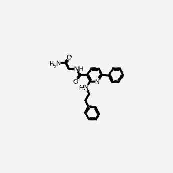 NC(=O)CNC(=O)c1ccc(-c2ccccc2)nc1NCCc1ccccc1